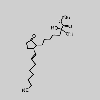 CCCCOC(=O)C(O)(O)CCCCC[C@H]1C(=O)CC[C@@H]1C=CCCCCCC#N